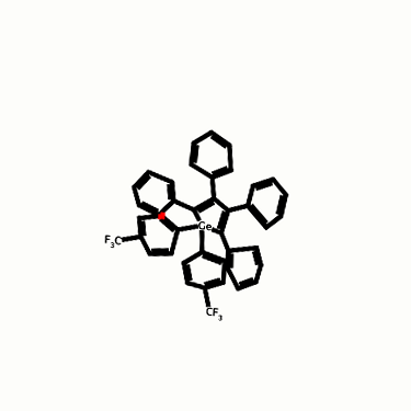 FC(F)(F)c1cc[c]([Ge]2([c]3ccc(C(F)(F)F)cc3)[C](c3ccccc3)=C(c3ccccc3)C(c3ccccc3)=[C]2c2ccccc2)cc1